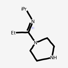 CC/C(=N\C(C)C)N1CCNCC1